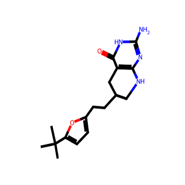 CC(C)(C)c1ccc(CCC2CNc3nc(N)[nH]c(=O)c3C2)o1